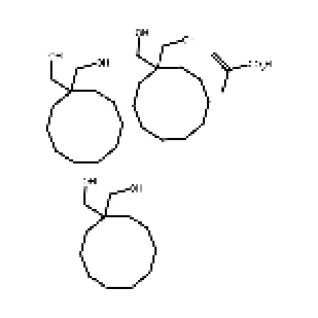 C=C(C)C(=O)O.OCC1(CO)CCCCCCCCC1.OCC1(CO)CCCCCCCCC1.OCC1(CO)CCCCCCCCC1